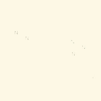 c1ccc(-c2cccc(-c3nc(-c4ccccc4)cc(-c4cccc(-c5cccc(-c6nc(-c7ccccc7)nc(-c7ccc8oc9ccc%10ccccc%10c9c8c7)n6)c5)c4)n3)c2)cc1